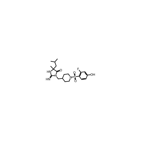 CC(C)CC1(C)NC(=N)N(CC2CCN(S(=O)(=O)c3ccc(O)cc3F)CC2)C1=O